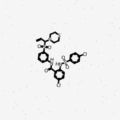 C=CC(N1CCSCC1)S(=O)(=O)c1cccc(NC(=O)c2cc(Cl)ccc2NS(=O)(=O)c2ccc(Cl)cc2)c1